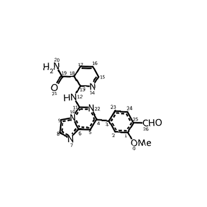 COc1cc(-c2cc3nccn3c(NC3N=CC=CC3C(N)=O)n2)ccc1C=O